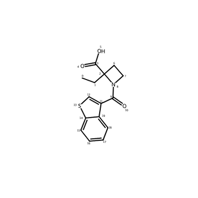 CCC1(C(=O)O)CCN1C(=O)c1csc2ccccc12